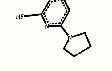 Sc1cccc(N2CCCC2)n1